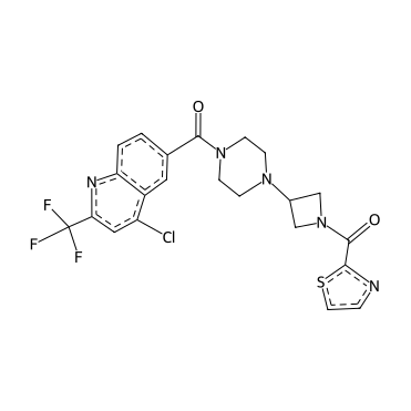 O=C(c1ccc2nc(C(F)(F)F)cc(Cl)c2c1)N1CCN(C2CN(C(=O)c3nccs3)C2)CC1